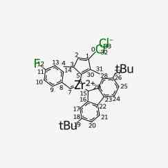 CC1=CC(C)[C](/[Zr+2](=[CH]\c2ccc(F)cc2)[CH]2c3cc(C(C)(C)C)ccc3-c3ccc(C(C)(C)C)cc32)=C1C.[Cl-].[Cl-]